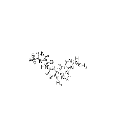 CNc1ncc2c(n1)N1CCN=C1C(c1cc(NC(=O)c3cncc(C(F)(F)F)n3)ccc1C)=C2